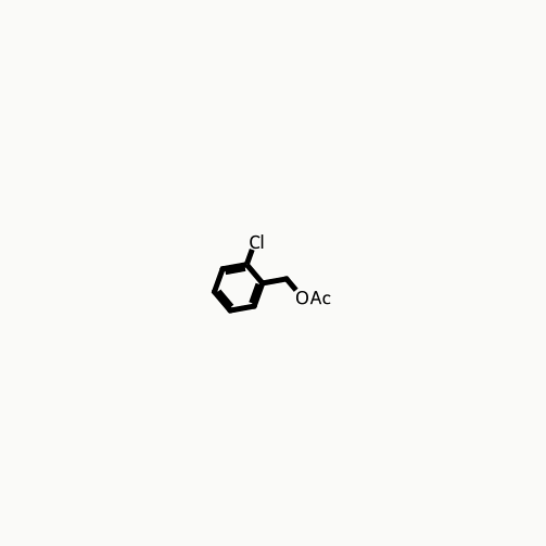 CC(=O)OCc1ccccc1Cl